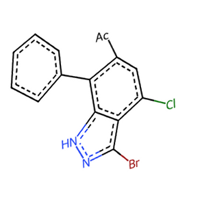 CC(=O)c1cc(Cl)c2c(Br)n[nH]c2c1-c1ccccc1